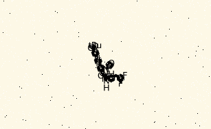 CC(C)(C)OC(=O)N1CCC(N2CCN(c3ccc(C(=O)Nc4n[nH]c5ccc(Cc6cc(F)cc(F)c6)cc45)c(NC4CCOCC4)c3)CC2)CC1